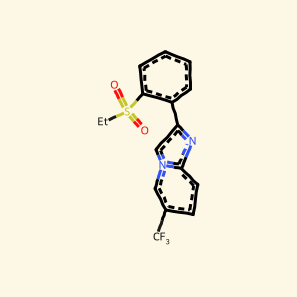 CCS(=O)(=O)c1ccccc1-c1cn2cc(C(F)(F)F)ccc2n1